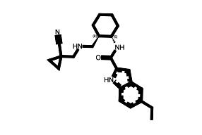 CCc1ccc2[nH]c(C(=O)N[C@H]3CCCC[C@@H]3CNCC3(C#N)CC3)cc2c1